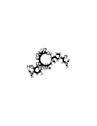 CO[C@]1(C)C[C@@H](C)CN(C)[C@@H]([C@@H]2CCN(C(=O)CN(C)C)C2)COC(=O)C(C)(C)C(=O)[C@H](C)[C@H]1O[C@@H]1O[C@H](C)C[C@H](N(C)C)[C@H]1O